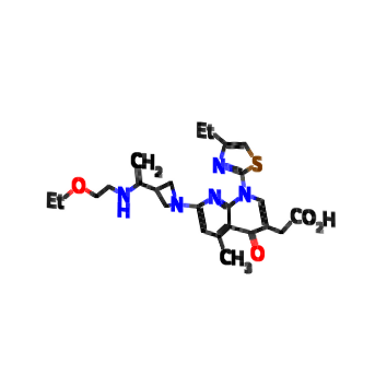 C=C(NCCOCC)C1CN(c2cc(C)c3c(=O)c(CC(=O)O)cn(-c4nc(CC)cs4)c3n2)C1